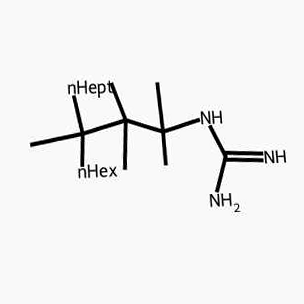 CCCCCCCC(C)(CCCCCC)C(C)(C)C(C)(C)NC(=N)N